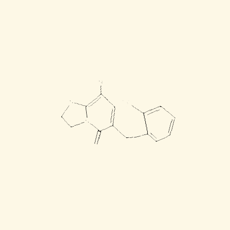 O=c1c(Cc2ccccc2C(F)(F)F)cc([N+](=O)[O-])c2n1CCN2